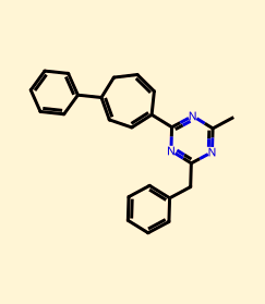 Cc1nc(Cc2ccccc2)nc(C2=CC=C(c3ccccc3)CC=C2)n1